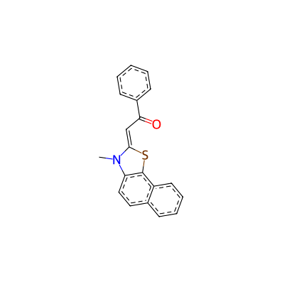 CN1C(=CC(=O)c2ccccc2)Sc2c1ccc1ccccc21